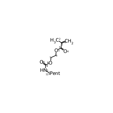 C=C(C)C(=O)OCCOC(=O)NC(C)CCC